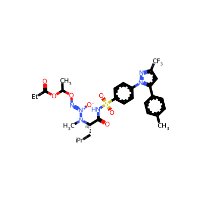 CCC(=O)OC(C)ON=[N+]([O-])N(C)[C@@H](CC(C)C)C(=O)NS(=O)(=O)c1ccc(-n2nc(C(F)(F)F)cc2-c2ccc(C)cc2)cc1